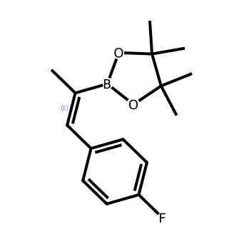 C/C(=C/c1ccc(F)cc1)B1OC(C)(C)C(C)(C)O1